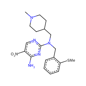 CSc1ccccc1CN(CC1CCN(C)CC1)c1ncc([N+](=O)[O-])c(N)n1